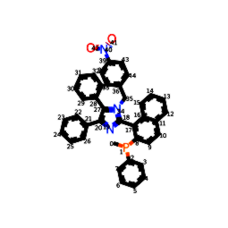 CP(c1ccccc1)c1ccc2ccccc2c1-c1nc(-c2ccccc2)c(-c2ccccc2)n1Cc1ccc([N+](=O)[O-])cc1